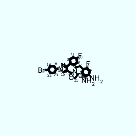 Nc1cc(F)c(CCN2C(=O)COC2c2cn(-c3ccc(Br)cc3)nc2-c2ccc(F)cc2)cc1N